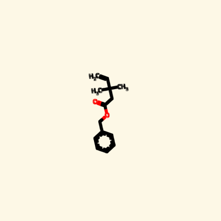 C=CC(C)(C)CC(=O)OCc1ccccc1